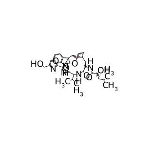 CC(C)C[C@H](O)C(=O)N[C@H]1Cc2ccc3c(c2)C2(c4ccccc4NC2O3)c2oc(nc2-c2nc(CO)co2)C(C(C)C)NC1=O